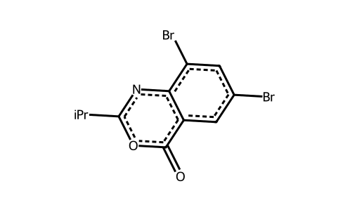 CC(C)c1nc2c(Br)cc(Br)cc2c(=O)o1